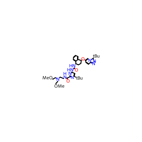 COCCN(CCNC(=O)c1nc(NC(=O)N[C@H]2CC[C@@H](Oc3ccc4nnc(C(C)(C)C)n4c3)c3ccccc32)cc(C(C)(C)C)n1)CCOC